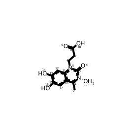 Cc1nc(=O)n(CCC(=O)O)c2cc(O)c(O)cc12.O